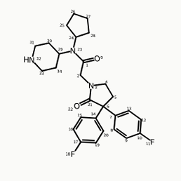 O=C(CN1CCC(c2ccc(F)cc2)(c2ccc(F)cc2)C1=O)N(C1CCCC1)C1CCNCC1